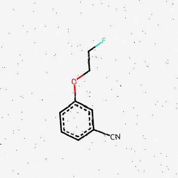 N#Cc1cccc(OCCF)c1